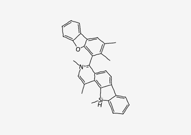 Cc1cc2c(oc3ccccc32)c(-c2c3ccc4c(c3c(C)c[n+]2C)[SiH](C)c2ccccc2-4)c1C